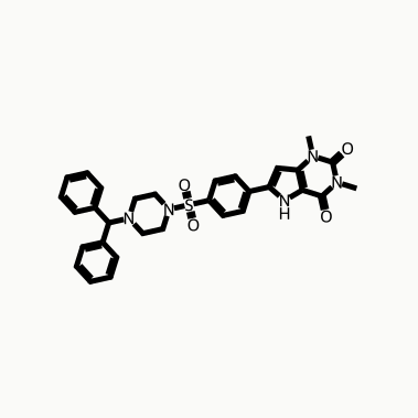 Cn1c(=O)c2[nH]c(-c3ccc(S(=O)(=O)N4CCN(C(c5ccccc5)c5ccccc5)CC4)cc3)cc2n(C)c1=O